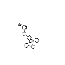 Brc1cccc(-c2cccc(-c3ccc4c(c3)c3c5ccccc5c5ccccc5c3n4-c3ccccc3)c2)c1